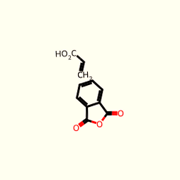 C=CC(=O)O.O=C1OC(=O)c2ccccc21